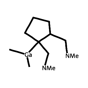 CNCC1CCC[C]1(CNC)[Ga]([CH3])[CH3]